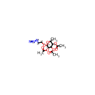 CC(=O)OC1[C@H](OC(C)=O)C(OCCN=[N+]=[N-])O[C@@H](C)[C@@H]1OC(C)=O